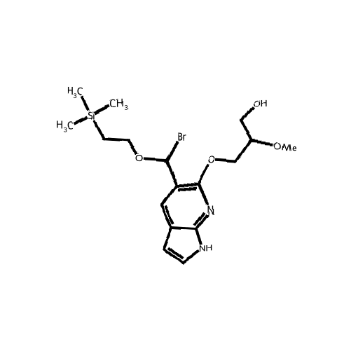 COC(CO)COc1nc2[nH]ccc2cc1C(Br)OCC[Si](C)(C)C